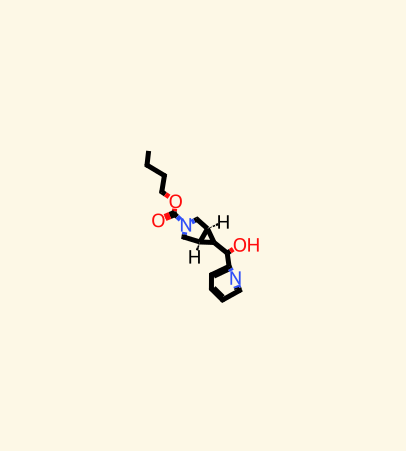 CCCCOC(=O)N1C[C@@H]2C(C(O)c3ccccn3)[C@@H]2C1